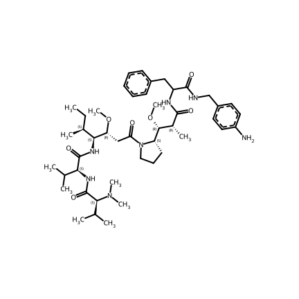 CC[C@H](C)[C@H](NC(=O)[C@@H](NC(=O)[C@H](C(C)C)N(C)C)C(C)C)[C@@H](CC(=O)N1CCC[C@H]1[C@H](OC)[C@@H](C)C(=O)NC(Cc1ccccc1)C(=O)NCc1ccc(N)cc1)OC